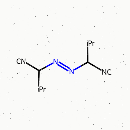 [C-]#[N+]C(N=NC([N+]#[C-])C(C)C)C(C)C